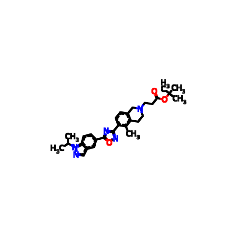 Cc1c(-c2noc(-c3ccc4c(cnn4C(C)C)c3)n2)ccc2c1CCN(CCC(=O)OC(C)(C)C)C2